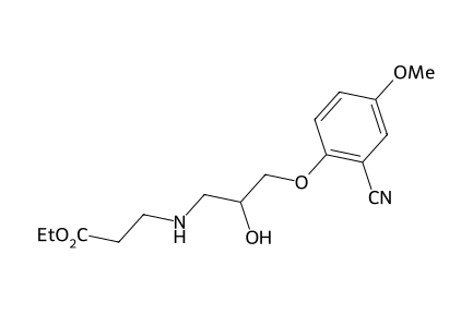 CCOC(=O)CCNCC(O)COc1ccc(OC)cc1C#N